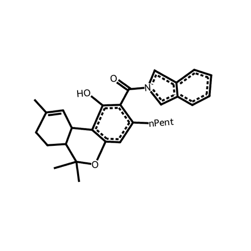 CCCCCc1cc2c(c(O)c1C(=O)n1cc3ccccc3c1)C1C=C(C)CCC1C(C)(C)O2